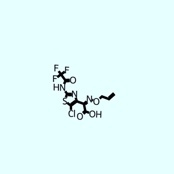 C=CCON=C(C(=O)O)c1nc(NC(=O)C(F)(F)F)sc1Cl